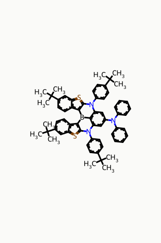 CC(C)(C)c1ccc(N2c3cc(N(c4ccccc4)c4ccccc4)cc4c3B(c3c2sc2cc(C(C)(C)C)ccc32)c2c(sc3cc(C(C)(C)C)ccc23)N4c2ccc(C(C)(C)C)cc2)cc1